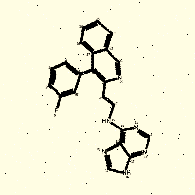 Fc1cccc(-c2c(CCNc3ncnc4[nH]cnc34)ncc3ccccc23)c1